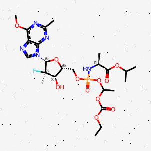 CCOC(=O)OC(C)OP(=O)(N[C@@H](C)C(=O)OC(C)C)OC[C@H]1O[C@@H](n2cnc3c(OC)nc(C)nc32)[C@](C)(F)[C@@H]1O